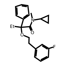 CCC(OCCc1cccc(F)c1)(C(=O)N(C)C1CC1)c1ccccc1